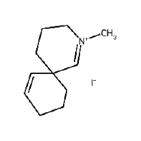 C[N+]1=CC2(C=CCCC2)CCC1.[I-]